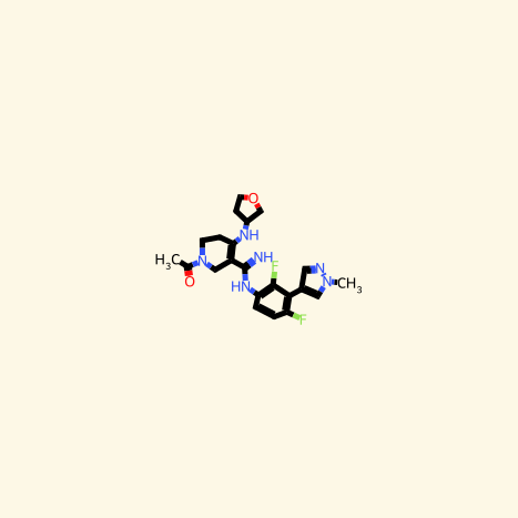 CC(=O)N1CCC(NC2CCOC2)=C(C(=N)Nc2ccc(F)c(-c3cnn(C)c3)c2F)C1